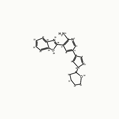 Nc1ncc(-c2cnn(C3CCCCO3)c2)cc1-c1nc2ccccc2o1